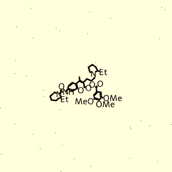 CCC1CCCCN1CC(Cc1c(C)c2ccc(NC(=O)N3CCCCC3CC)cc2oc1=O)OC(=O)c1cc(OC)c(OC)c(OC)c1